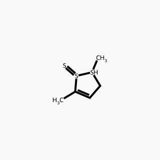 CC1=CC[SH](C)S1=S